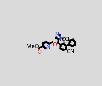 COC(=O)c1ccc(COC(c2ccc(C#N)c(-c3ccccc3C(F)(F)F)c2)c2cncn2C)nc1